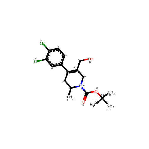 CC1CC(c2ccc(Cl)c(Cl)c2)=C(CO)CN1C(=O)OC(C)(C)C